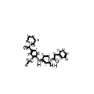 N=c1cc(Nc2ncc(C(=O)N3CCCCC3)cc2OCI)ccn1C(=O)CC1=CC=CCC1